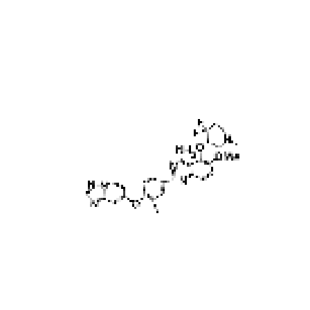 COc1ccc2nc(-c3ccc(Oc4ccn5ncnc5c4)c(C)c3)nc(N)c2c1OC1CN(C)CCC1(F)F